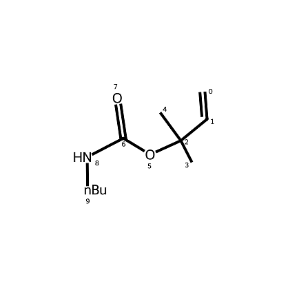 C=CC(C)(C)OC(=O)NCCCC